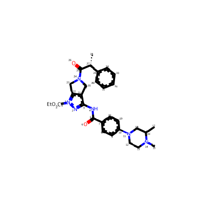 CCOC(=O)n1nc(NC(=O)c2ccc(N3CCN(C)C(C)C3)cc2)c2c1CN(C(=O)[C@H](C)c1ccccc1)C2